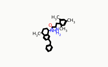 Cc1cc(C)c(C[C@H](N)C(=O)N[C@@H]2CC[C@@H](C)c3ccc(Cc4ccccc4)cc32)c(C)c1